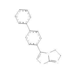 C1=C(c2ccc(-c3ccccc3)cc2)N2CCN=C2S1